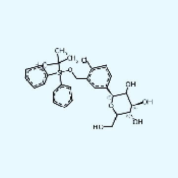 CC(C)(C)[Si](OCc1cc([C@@H]2OC(CO)[C@@H](O)[C@H](O)C2O)ccc1Cl)(c1ccccc1)c1ccccc1